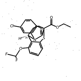 CCOC(=O)C12CC[C@H](c3c(OC(F)F)cccc3S1)n1c2nc2ccc(Cl)cc21